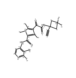 C#CC1(NC(=O)C(=O)c2c(C)c(C(=O)Nc3ccnc(F)c3Br)n(C)c2C)CC(F)(F)C1